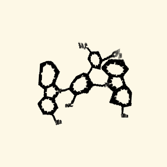 Cc1cc(-c2cc(-n3c4ccccc4c4ccc(C(C)(C)C)cc43)c(C#N)cc2-n2c3ccccc3c3ccc(C(C)(C)C)cc32)cc(C(F)(F)F)c1